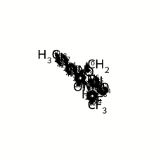 C=CC(=O)Nc1cc(Nc2cc(N3OCC[C@@H]3c3cccc(C(F)(F)F)c3F)ncn2)c(OC)cc1N1CCC(N2CCN(C)CC2)CC1